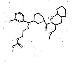 CNCC(CC1CCCCC1O)NC(=O)N1CCCC(C(OCCNC(=O)OC)c2cccc(Cl)c2)C1